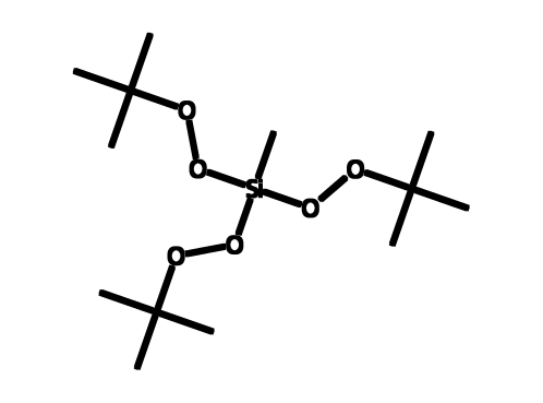 CC(C)(C)OO[Si](C)(OOC(C)(C)C)OOC(C)(C)C